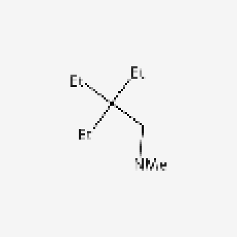 CCC(CC)(CC)CNC